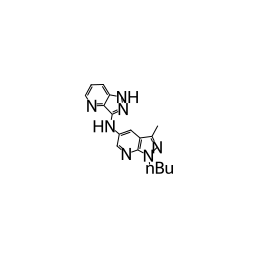 CCCCn1nc(C)c2cc(Nc3n[nH]c4cccnc34)cnc21